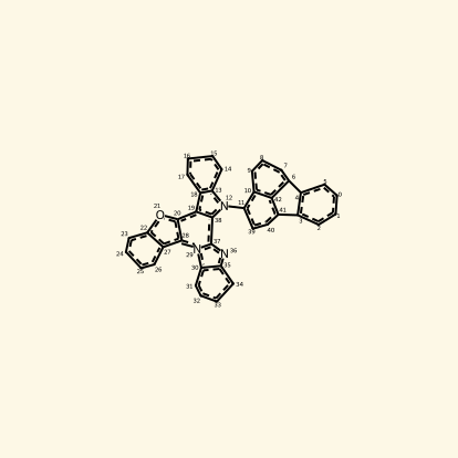 c1ccc2c(c1)-c1cccc3c(-n4c5ccccc5c5c6oc7ccccc7c6n6c7ccccc7nc6c54)ccc-2c13